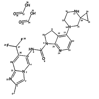 Cc1cn2cc(NC(=O)N3CCc4c(N5CCNC6(CC6)C5)ccnc43)c(C(F)F)cc2n1.O=CO.O=CO